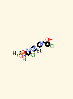 CC[C@H]1CN(c2ncc(NS(C)(=O)=O)cc2Cl)CCN1C1CCN(Cc2ccc(Cl)cc2O)CC1